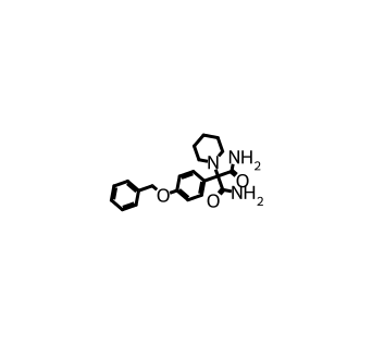 NC(=O)C(C(N)=O)(c1ccc(OCc2ccccc2)cc1)N1CCCCC1